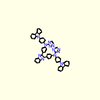 c1ccc2nc(-c3ccc(N(c4ccc(-n5c6ccccc6c6ccccc65)cc4)c4nccnn4)cc3)c(-c3ccc(N(c4ccc(-n5c6ccccc6c6ccccc65)cc4)c4nccnn4)cc3)nc2c1